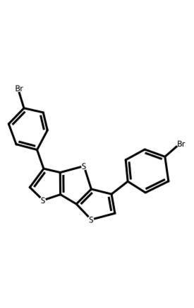 Brc1ccc(-c2csc3c2sc2c(-c4ccc(Br)cc4)csc23)cc1